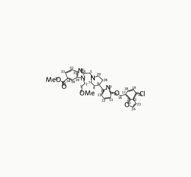 COCCn1c(CN2CCC(c3cccc(OCc4ccc(Cl)c5ccoc45)n3)CC2)nc2ccc(C(=O)OC)cc21